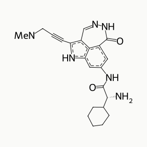 CNCC#Cc1[nH]c2cc(NC(=O)[C@H](N)C3CCCCC3)cc3c2c1C=NNC3=O